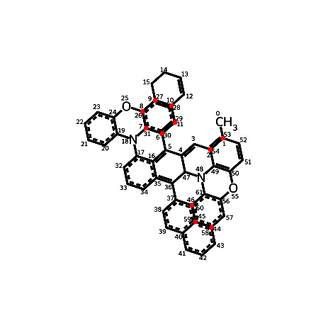 C/C=C\C=C1\C(c2ccc3c(c2)C=CCC3)=c2c(N3c4ccccc4OC4C=CC=CC43)cccc2=C(c2ccc3ccccc3c2)C1N1C2=C(C=CCC2)Oc2ccccc21